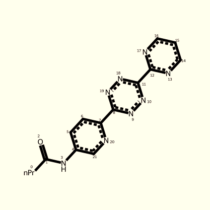 CCCC(=O)Nc1ccc(-c2nnc(-c3ncccn3)nn2)nc1